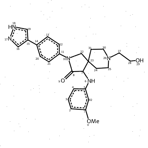 COc1cccc(NC2C(=O)N(c3ccc(-c4cn[nH]c4)cc3)CC23CCN(CCO)CC3)c1